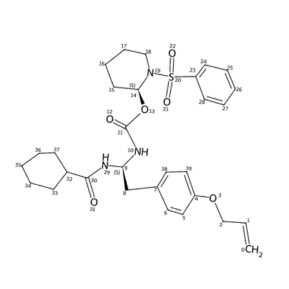 C=CCOc1ccc(C[C@H](NC(=O)O[C@H]2CCCCN2S(=O)(=O)c2ccccc2)NC(=O)C2CCCCC2)cc1